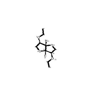 CCO[C@@H]1CO[C@@H]2[C@H]1OC[C@H]2OCC